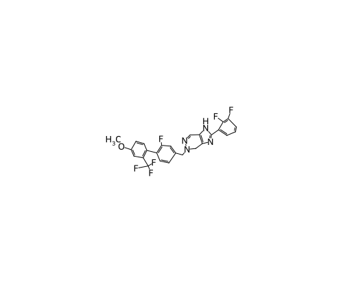 COc1ccc(-c2ccc(CN3Cc4nc(-c5cccc(F)c5F)[nH]c4C=N3)cc2F)c(C(F)(F)F)c1